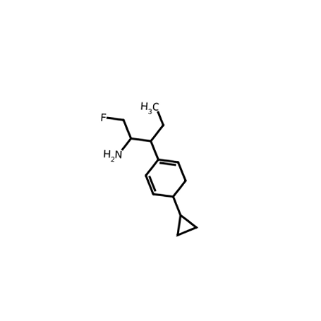 CCC(C1=CCC(C2CC2)C=C1)C(N)CF